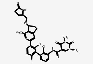 COc1nc(-c2ccc(F)c(-c3cccc(NC(=O)c4cn(C)c(=O)n(C)c4=O)c3Cl)c2Cl)cc2c1C(NCC1CCC(=O)N1)CC2